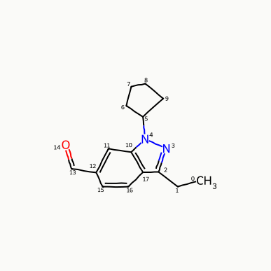 CCc1nn(C2CCCC2)c2cc(C=O)ccc12